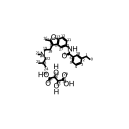 CCc1cccc(C(=O)Nc2ccc3oc(C)c(CCN(C)CC(C)C)c3c2)c1.O=C(O)C(O)C(O)C(=O)O